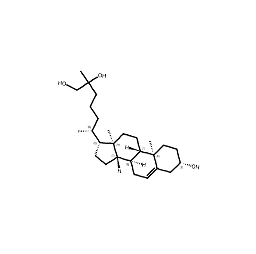 C[C@H](CCCC(C)(O)CO)[C@H]1CC[C@H]2[C@@H]3CC=C4C[C@@H](O)CC[C@]4(C)[C@H]3CC[C@]12C